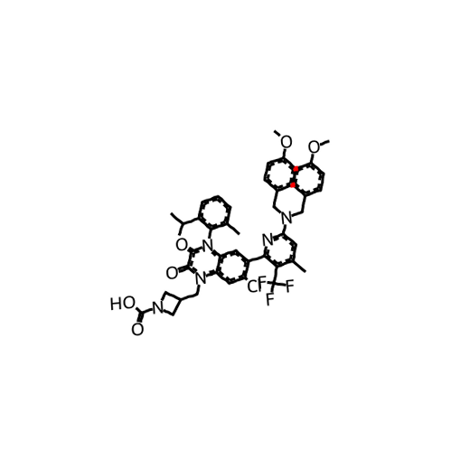 COc1ccc(CN(Cc2ccc(OC)cc2)c2cc(C)c(C(F)(F)F)c(-c3cc4c(cc3Cl)n(CC3CN(C(=O)O)C3)c(=O)c(=O)n4-c3c(C)cccc3C(C)C)n2)cc1